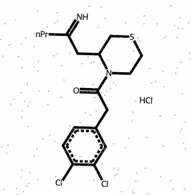 CCCC(=N)CC1CSCCN1C(=O)Cc1ccc(Cl)c(Cl)c1.Cl